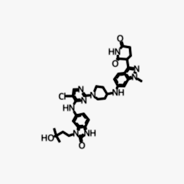 Cn1nc(C2CCC(=O)NC2=O)c2ccc(NC3CCN(c4ncc(Cl)c(Nc5ccc6[nH]c(=O)n(CCC(C)(C)O)c6c5)n4)CC3)cc21